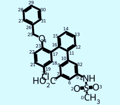 CS(=O)(=O)Nc1cc(C(=O)O)cc(-c2ccccc2-c2cc(Cl)ccc2OCc2ccccc2)c1